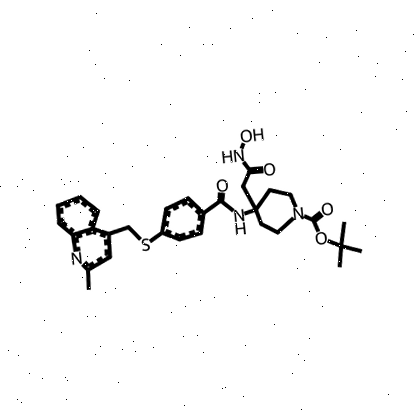 Cc1cc(CSc2ccc(C(=O)NC3(CC(=O)NO)CCN(C(=O)OC(C)(C)C)CC3)cc2)c2ccccc2n1